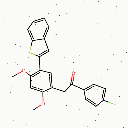 COc1cc(OC)c(-c2cc3ccccc3s2)cc1CC(=O)c1ccc(F)cc1